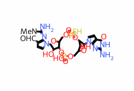 CN/C(N)=N\c1c(C=O)ccn1C1OC2COP(=O)(S)OC3C(O)C(COP(=O)(O)OC2C1O)OC3n1ccc2c(=O)[nH]c(N)nc21